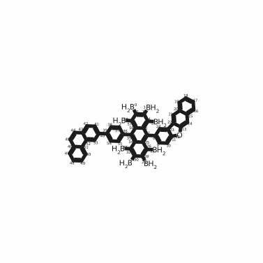 Bc1c(B)c(B)c2c(-c3ccc4oc5cc6ccccc6cc5c4c3)c3c(B)c(B)c(B)c(B)c3c(-c3ccc(-c4ccc5ccc6ccccc6c5c4)cc3)c2c1B